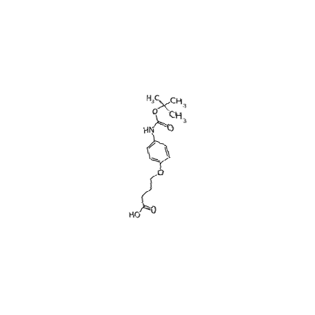 CC(C)(C)OC(=O)Nc1ccc(OCCCC(=O)O)cc1